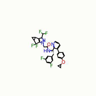 O=C(Cn1nc(C(F)F)c2c1C(F)(F)C1CC21)N[C@@H](Cc1cc(F)cc(F)c1)c1ncccc1-c1ccc(OC2CC2)cc1